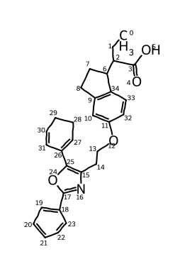 CCC(C(=O)O)C1CCc2cc(OCCc3nc(-c4ccccc4)oc3C3=CCCC=C3)ccc21